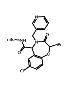 CCCCNC(=O)C1c2cc(Cl)ccc2OC(C(C)C)C(=O)N1Cc1cccnc1